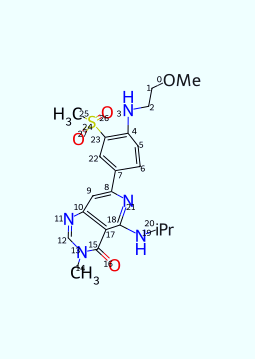 COCCNc1ccc(-c2cc3ncn(C)c(=O)c3c(NC(C)C)n2)cc1S(C)(=O)=O